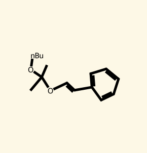 CCCCOC(C)(C)OC=Cc1ccccc1